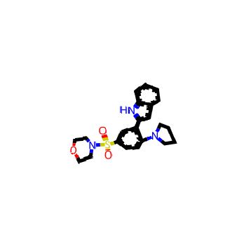 O=S(=O)(c1ccc(N2CCCC2)c(-c2cc3ccccc3[nH]2)c1)N1CCOCC1